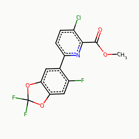 COC(=O)c1nc(-c2cc3c(cc2F)OC(F)(F)O3)ccc1Cl